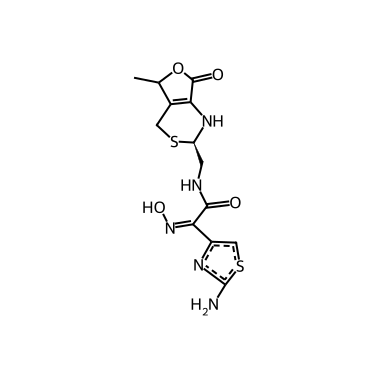 CC1OC(=O)C2=C1CS[C@H](CNC(=O)C(=NO)c1csc(N)n1)N2